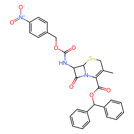 CC1=C(C(=O)OC(c2ccccc2)c2ccccc2)N2C(=O)C(NC(=O)OCc3ccc([N+](=O)[O-])cc3)C2SC1